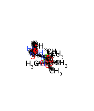 CCCCOC[C@H]1O[C@@](OCCCC)(C(F)(F)CNCCCC[C@H](NC(=O)OCc2ccccc2)C(=O)N2CCC[C@H]2C(=O)NCC)[C@H](OCCCC)[C@@H](OCCCC)[C@H]1OCCCC